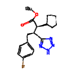 CC(C)(C)OC(=O)[C@@H](C1CCCC1)[C@H](Cc1ccc(Br)cc1)c1nn[nH]n1